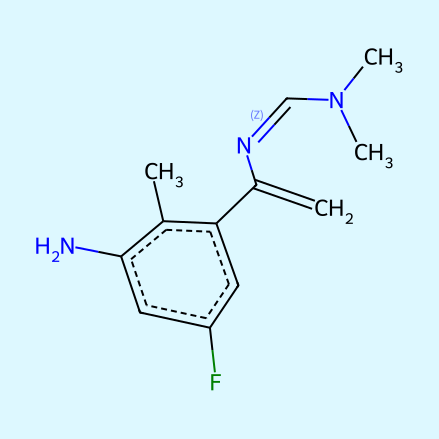 C=C(/N=C\N(C)C)c1cc(F)cc(N)c1C